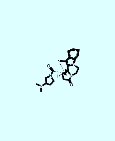 Cc1c2n(c3ccccc13)CCN1C(=O)C[C@H]3[C@H](C(=O)N4CCC(N(C)C)C4)[C@@H](C)CC231